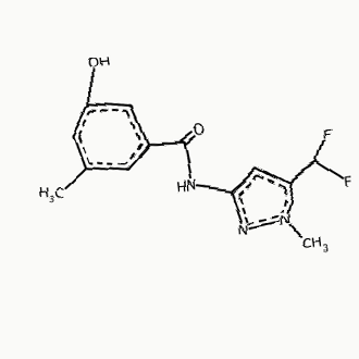 Cc1cc(O)cc(C(=O)Nc2cc(C(F)F)n(C)n2)c1